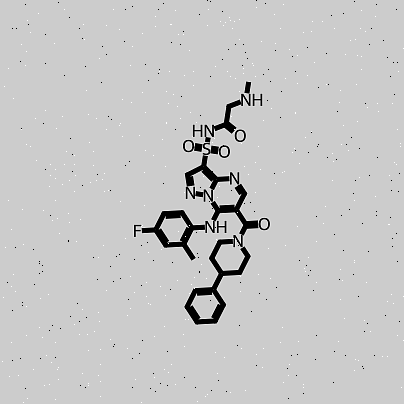 CNCC(=O)NS(=O)(=O)c1cnn2c(Nc3ccc(F)cc3C)c(C(=O)N3CCC(c4ccccc4)CC3)cnc12